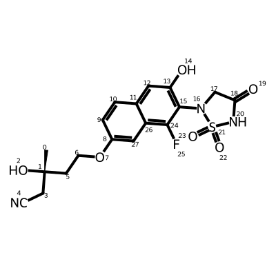 C[C@](O)(CC#N)CCOc1ccc2cc(O)c(N3CC(=O)NS3(=O)=O)c(F)c2c1